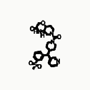 CS(=O)(=O)c1cccc(C(c2cccnc2)C2CCN(C(=O)N3CCC4OCC(=O)N[C@@H]4C3)CC2)c1